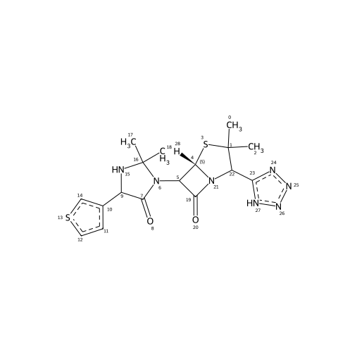 CC1(C)S[C@H]2C(N3C(=O)C(c4ccsc4)NC3(C)C)C(=O)N2C1c1nnn[nH]1